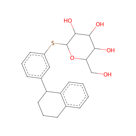 OCC1OC(Sc2cccc(C3CCCc4ccccc43)c2)C(O)C(O)C1O